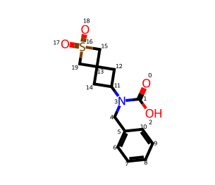 O=C(O)N(Cc1ccccc1)C1CC2(C1)CS(=O)(=O)C2